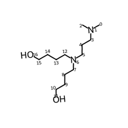 CN(C)CCCN(CCCCO)CCCCO